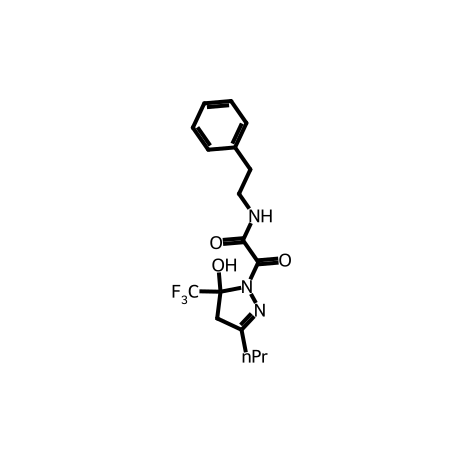 CCCC1=NN(C(=O)C(=O)NCCc2ccccc2)C(O)(C(F)(F)F)C1